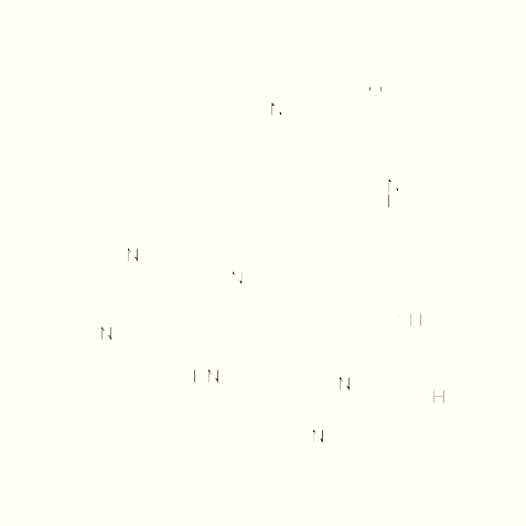 CC(C)n1cc(Nc2nc(-c3cnc4c(c3)NCCO4)cn3ccnc23)cn1